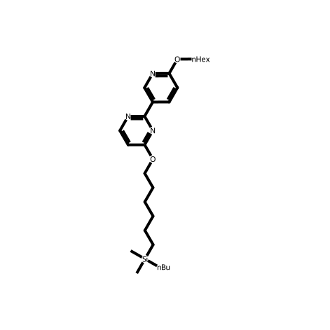 CCCCCCOc1ccc(-c2nccc(OCCCCCC[Si](C)(C)CCCC)n2)cn1